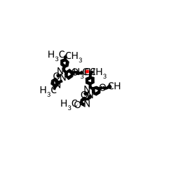 C#CCOc1ccc2c(c1)c(-c1ccc(C(C)C)cc1)nc(=O)n2Cc1ccc(OC)cn1.C#CCOc1ccc2c(c1)c(-c1ccc(C(C)C)cc1)nc(=O)n2Cc1cccc(C)n1